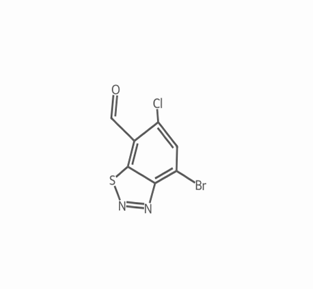 O=Cc1c(Cl)cc(Br)c2nnsc12